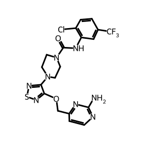 Nc1nccc(COc2nsnc2N2CCN(C(=O)Nc3cc(C(F)(F)F)ccc3Cl)CC2)n1